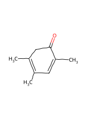 CC1=CC(C)=C(C)CC1=O